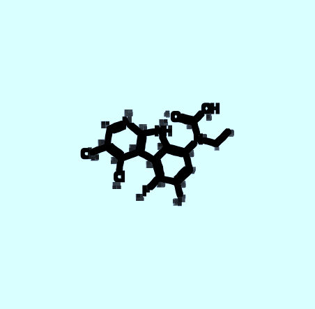 CCN(C(=O)O)c1cc(F)c(F)c2c1[nH]c1ncc(Cl)c(Cl)c12